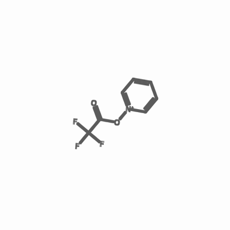 O=C(O[n+]1ccccc1)C(F)(F)F